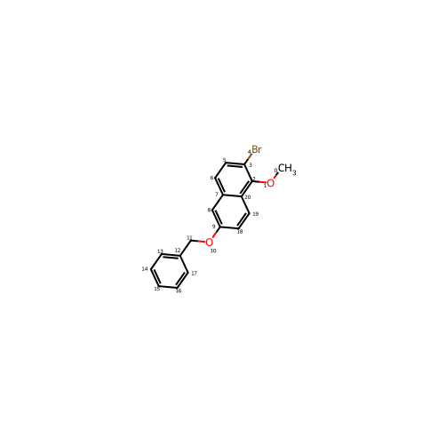 COc1c(Br)ccc2cc(OCc3ccccc3)ccc12